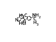 Cc1cc([C@H](C)N)ccc1C(=O)c1cccc2cnccc12.Cl